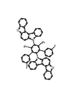 CC(C)c1c(-c2cccc(F)c2)c(-n2c3ccccc3c3c4c(ccc32)oc2ccccc24)c(-c2cccc(F)c2)c(C(C)C)c1-n1c2ccccc2c2c3c(ccc21)oc1ccccc13